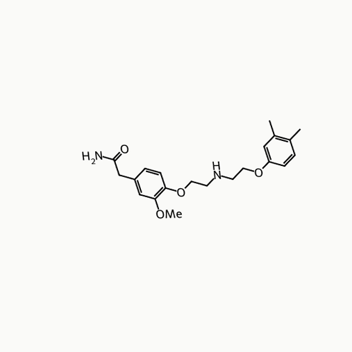 COc1cc(CC(N)=O)ccc1OCCNCCOc1ccc(C)c(C)c1